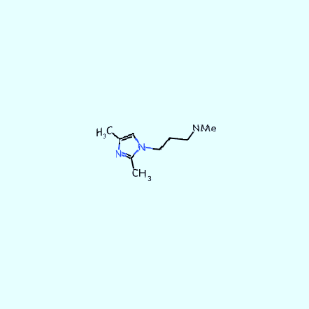 CNCCCn1cc(C)nc1C